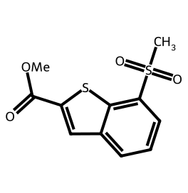 COC(=O)c1cc2cccc(S(C)(=O)=O)c2s1